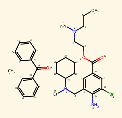 C.CCCN(CCOC(C)=O)CCOC(=O)c1cc(Br)c(N)c(CN(CC)C2CCCCC2)c1.O=C(c1ccccc1)c1ccccc1